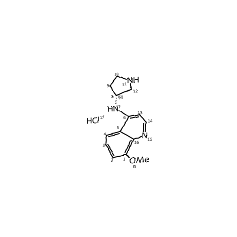 COc1cccc2c(N[C@@H]3CCNC3)ccnc12.Cl